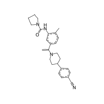 C=C(c1ccc(C)c(NC(=O)N2CCCC2)c1)N1CCC(c2ccc(C#N)cc2)CC1